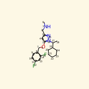 CNCc1cc(OCc2ccc(F)cc2F)n(C(C)C2CCCCC2)n1